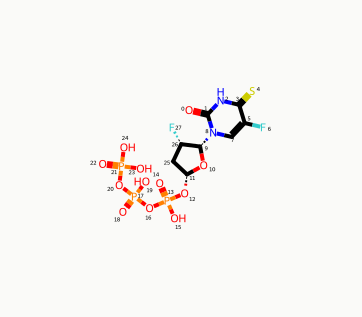 O=c1[nH]c(=S)c(F)cn1[C@@H]1O[C@H](OP(=O)(O)OP(=O)(O)OP(=O)(O)O)C[C@@H]1F